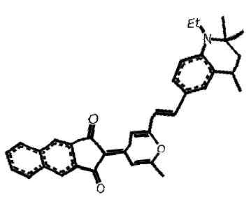 CCN1c2ccc(/C=C/C3=CC(=C4C(=O)c5cc6ccccc6cc5C4=O)C=C(C)O3)cc2C(C)CC1(C)C